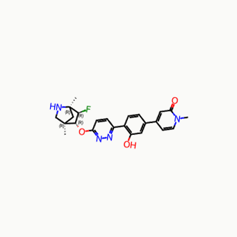 Cn1ccc(-c2ccc(-c3ccc(O[C@H]4[C@H](F)[C@@]5(C)C[C@]4(C)CN5)nn3)c(O)c2)cc1=O